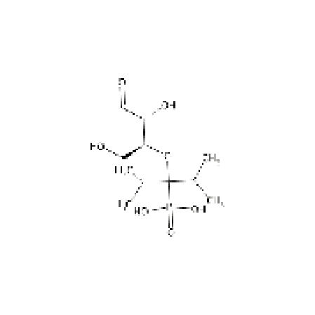 CC(C)C(O[C@@H](CO)[C@@H](O)C=O)(C(C)C)P(=O)(O)O